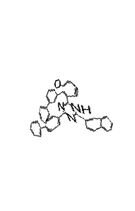 c1ccc(-c2ccc(C3=NC(c4ccc5ccccc5c4)NC(c4cccc5oc6ccc(-c7ccccc7)cc6c45)=N3)cc2)cc1